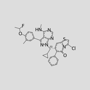 CNc1ncnc2c1c(-c1ccc(OC(C)F)c(C)c1)nn2[C@H](c1cc2scc(Cl)n2c(=O)c1-c1ccccc1)C1CC1